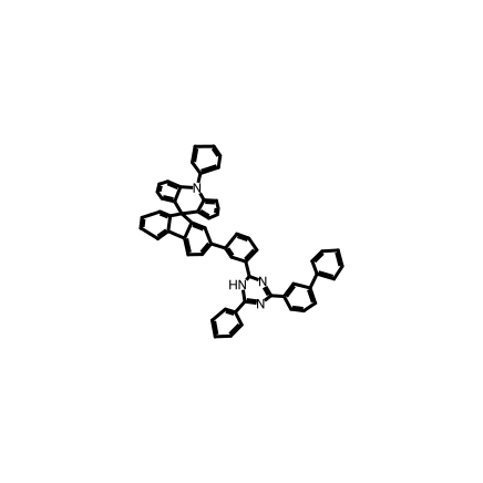 c1ccc(C2=NC(c3cccc(-c4ccccc4)c3)=NC(c3cccc(-c4ccc5c(c4)C4(c6ccccc6-5)c5ccccc5N(c5ccccc5)c5ccccc54)c3)N2)cc1